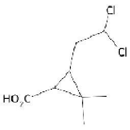 CC1(C)C(CC(Cl)Cl)C1C(=O)O